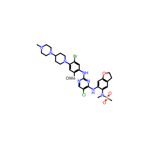 COc1cc(N2CCC(N3CCN(C)CC3)CC2)c(Br)cc1Nc1ncc(Cl)c(Nc2cc3c(cc2N(C)S(C)(=O)=O)CCO3)n1